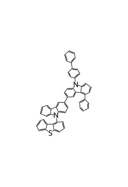 c1ccc(-c2ccc(-n3c4ccc(-c5ccc6c(c5)c5ccccc5n6-c5cccc6sc7ccccc7c56)cc4c4c(-c5ccccc5)cccc43)cc2)cc1